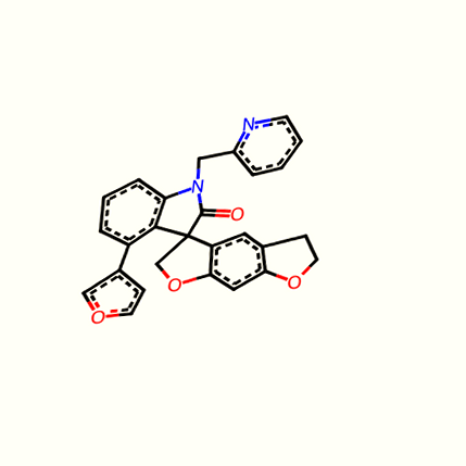 O=C1N(Cc2ccccn2)c2cccc(-c3ccoc3)c2C12COc1cc3c(cc12)CCO3